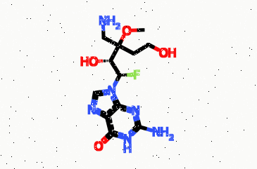 COC(CN)(CCO)[C@@H](O)[C@@H](F)n1cnc2c(=O)[nH]c(N)nc21